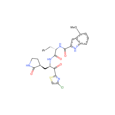 COc1cccc2[nH]c(C(=O)N[C@@H](CC(C)C)C(=O)N[C@H](C[C@@H]3CCNC3=O)C(=O)c3nc(Cl)cs3)cc12